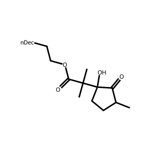 CCCCCCCCCCCCOC(=O)C(C)(C)C1(O)CCC(C)C1=O